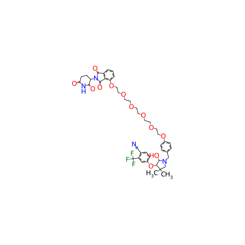 CC1(C)CN(Cc2ccc(OCCOCCOCCOCCOCCOc3cccc4c3C(=O)N(C3CCC(=O)NC3=O)C4=O)cc2)C(O)C1Oc1ccc(C#N)c(C(F)(F)F)c1